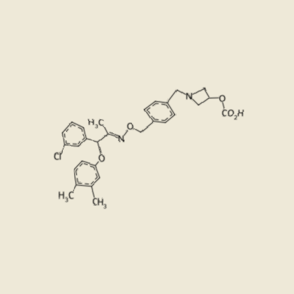 C/C(=N\OCc1ccc(CN2CC(OC(=O)O)C2)cc1)C(Oc1ccc(C)c(C)c1)c1cccc(Cl)c1